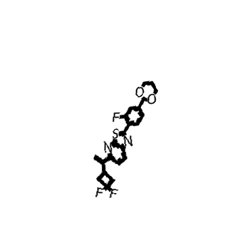 C=C(c1ccc2nc(-c3ccc(C4OCCCO4)cc3F)sc2n1)C1CC(F)(F)C1